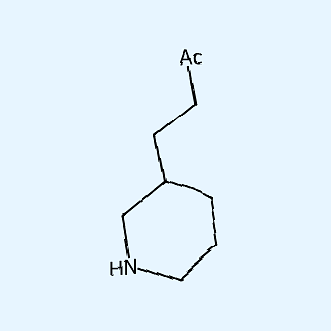 CC(=O)CCC1CCCNC1